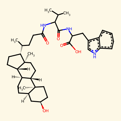 CC(C)C(NC(=O)CCC(C)[C@H]1CC[C@H]2[C@@H]3CC[C@@H]4C[C@H](O)CC[C@]4(C)[C@H]3CC[C@]12C)C(=O)NC(Cc1c[nH]c2ccccc12)C(=O)O